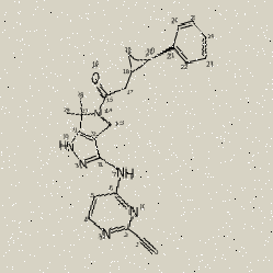 C#Cc1nccc(Nc2n[nH]c3c2CN(C(=O)CC2C[C@H]2c2ccccc2)C3(C)C)n1